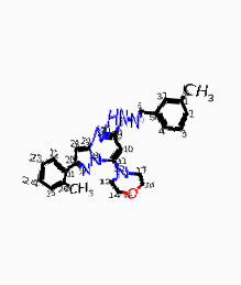 Cc1cccc(/C=N/Nc2cc(N3CCOCC3)n3nc(-c4ccccc4C)cc3n2)c1